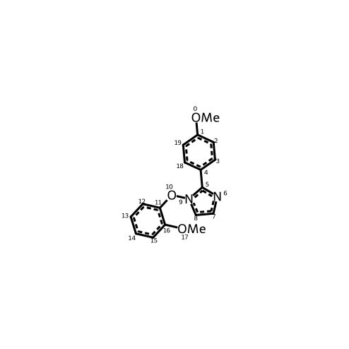 COc1ccc(-c2nccn2Oc2ccccc2OC)cc1